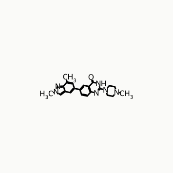 Cc1cc(-c2ccc3nc(N4CCN(C)CC4)[nH]c(=O)c3c2)cc2cn(C)nc12